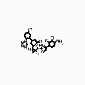 Nc1ccc(-c2cnc([C@@H]3[C@H]4C[C@H]4c4cc(-c5cc(Cl)ccc5-n5cnnn5)cc(=O)n43)[nH]2)c(F)c1Cl